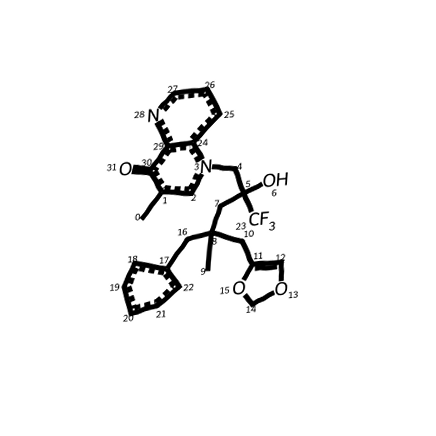 Cc1cn(CC(O)(CC(C)(CC2=COCO2)Cc2ccccc2)C(F)(F)F)c2cccnc2c1=O